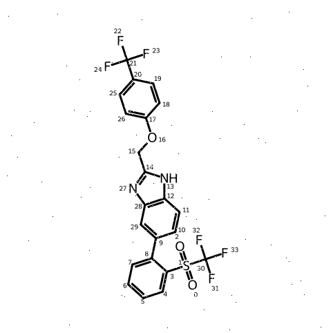 O=S(=O)(c1ccccc1-c1ccc2[nH]c(COc3ccc(C(F)(F)F)cc3)nc2c1)C(F)(F)F